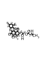 CNCC(=O)OC[C@H](O)Cn1cnc2c(c(Nc3ccc(I)cc3F)c(F)c(=O)n2C)c1=O